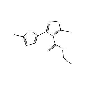 CCc1ccc(-c2noc(N)c2C(=O)NCC(C)C)s1